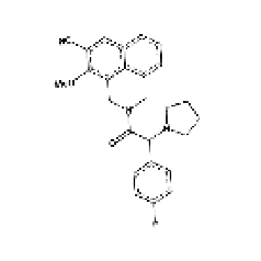 COc1c(C#N)cc2ccccc2c1CN(C)C(=O)C(c1ccc(F)cc1)N1CCCC1